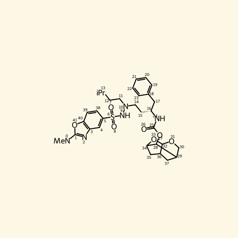 CNc1nc2cc(S(=O)(=O)NN(CCC(C)C)CC[C@H](Cc3ccccc3)NC(=O)OC3C4COC5OC3CC5C4)ccc2o1